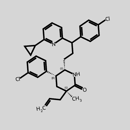 C=CC[C@@]1(C)C[C@H](c2cccc(Cl)c2)[C@H](CCC(c2ccc(Cl)cc2)c2cccc(C3CC3)n2)NC1=O